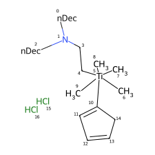 CCCCCCCCCCN(CCCCCCCCCC)C[CH2][Ti]([CH3])([CH3])([CH3])([CH3])[C]1=CC=CC1.Cl.Cl